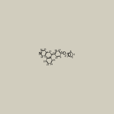 C1CC2CC1O2.COc1ccc(C(Cc2ccncc2)c2ccccc2)cc1